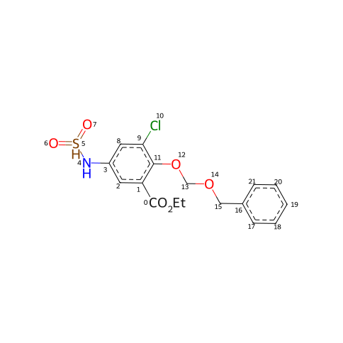 CCOC(=O)c1cc(N[SH](=O)=O)cc(Cl)c1OCOCc1ccccc1